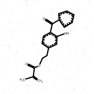 C=C(C)C(=O)OCCc1ccc(C(=O)c2ccccc2)c(O)c1